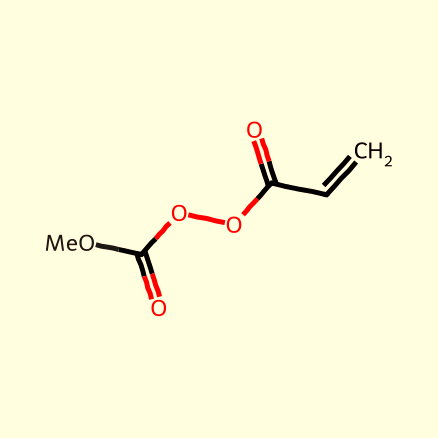 C=CC(=O)OOC(=O)OC